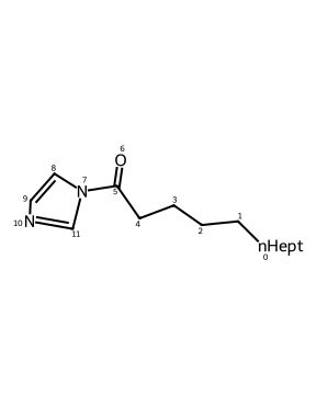 CCCCCCCCCCCC(=O)n1ccnc1